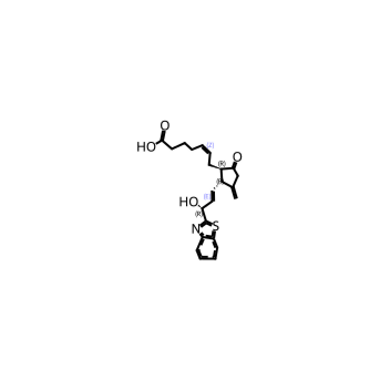 C=C1CC(=O)[C@H](C/C=C\CCCC(=O)O)[C@H]1/C=C/[C@@H](O)c1nc2ccccc2s1